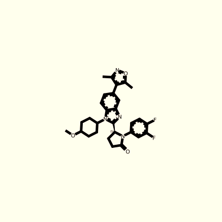 COC1CCC(n2c([C@@H]3CCC(=O)N3c3ccc(F)c(F)c3)nc3cc(-c4c(C)noc4C)ccc32)CC1